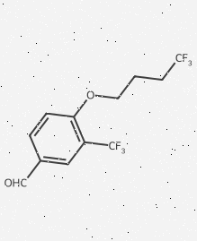 O=Cc1ccc(OCCCC(F)(F)F)c(C(F)(F)F)c1